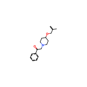 C=C(C)COC1CCN(CC(=O)c2ccccc2)CC1